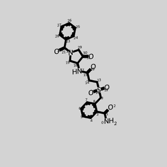 NC(=O)c1ccccc1CS(=O)(=O)C[CH]C(=O)NC1CN(C(=O)c2ccccc2)CC1=O